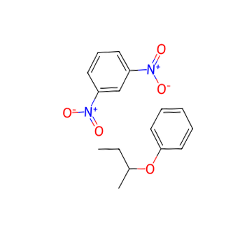 CCC(C)Oc1ccccc1.O=[N+]([O-])c1cccc([N+](=O)[O-])c1